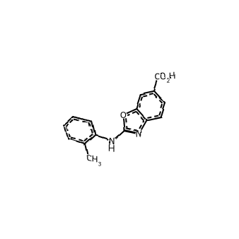 Cc1ccccc1Nc1nc2ccc(C(=O)O)cc2o1